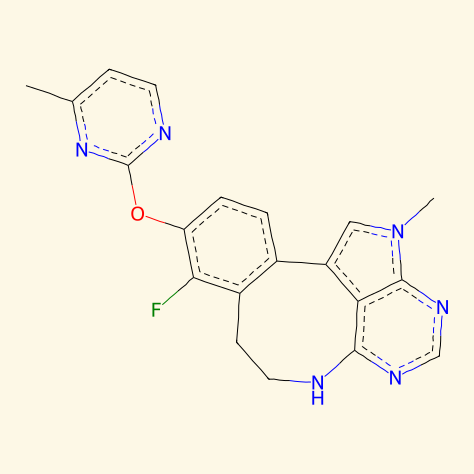 Cc1ccnc(Oc2ccc3c(c2F)CCNc2ncnc4c2c-3cn4C)n1